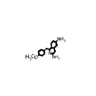 COc1ccc(Cc2nc(N)cc3cc(N)ccc23)cc1